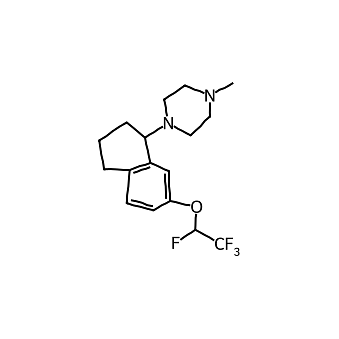 CN1CCN(C2CCCc3ccc(OC(F)C(F)(F)F)cc32)CC1